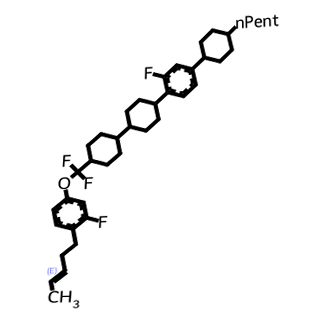 C/C=C/CCc1ccc(OC(F)(F)C2CCC(C3CCC(c4ccc(C5CCC(CCCCC)CC5)cc4F)CC3)CC2)cc1F